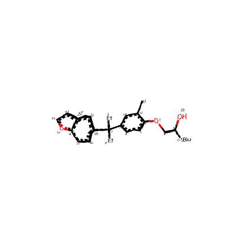 CCC(CC)(c1ccc(OCC(O)C(C)(C)C)c(C)c1)c1ccc2occc2c1